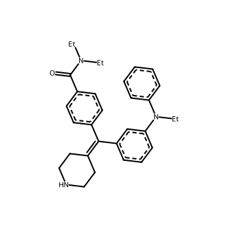 CCN(CC)C(=O)c1ccc(C(=C2CCNCC2)c2cccc(N(CC)c3ccccc3)c2)cc1